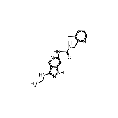 CCNc1n[nH]c2cc(NC(=O)NCc3ncccc3F)ncc12